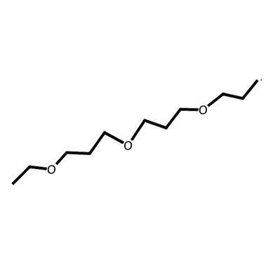 [CH2]CCOCCCOCCCOCC